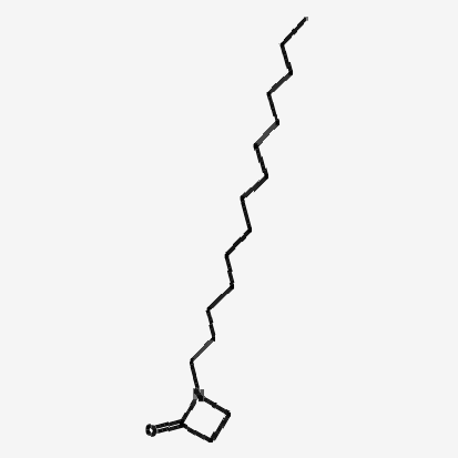 CCCCCCCCCCCCCCN1CCC1=O